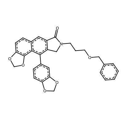 O=C1c2cc3ccc4c(c3c(-c3ccc5c(c3)OCO5)c2CN1CCCOCc1ccccc1)OCO4